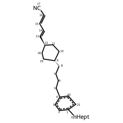 CCCCCCCc1ccc(CCCC[C@H]2CC[C@H](C=CC=CC#N)CC2)cc1